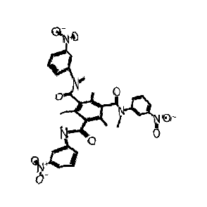 Cc1c(C(=O)N(C)c2cccc([N+](=O)[O-])c2)c(C)c(C(=O)N(C)c2cccc([N+](=O)[O-])c2)c(C)c1C(=O)N(C)c1cccc([N+](=O)[O-])c1